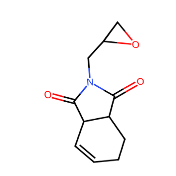 O=C1C2C=CCCC2C(=O)N1CC1CO1